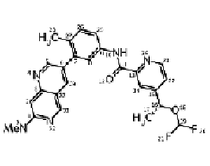 CNc1cc2ncc(-c3cc(NC(=O)c4cc([C@@H](C)OC(F)F)ccn4)ccc3C)cc2cn1